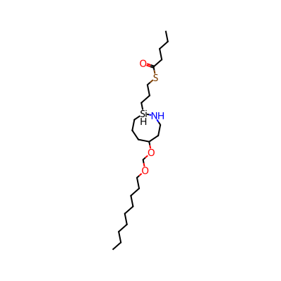 CCCCCCCCCOCOC1CCC[SiH](CCCSC(=O)CCCC)NCC1